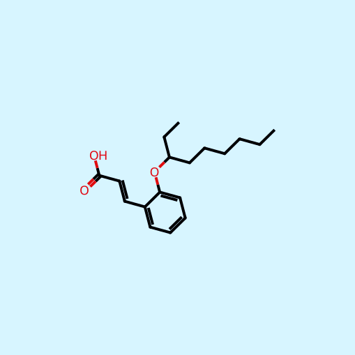 CCCCCCC(CC)Oc1ccccc1/C=C/C(=O)O